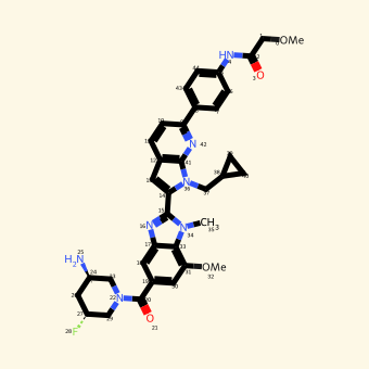 COCC(=O)Nc1ccc(-c2ccc3cc(-c4nc5cc(C(=O)N6C[C@H](N)C[C@@H](F)C6)cc(OC)c5n4C)n(CC4CC4)c3n2)cc1